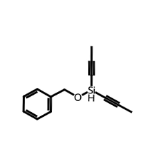 CC#C[SiH](C#CC)OCc1ccccc1